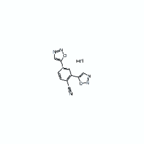 Cl.N#Cc1ccc(-c2cnno2)cc1-c1cnno1